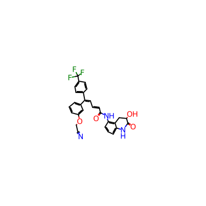 N#CCOc1cccc(C(=CC=CC(=O)Nc2cccc3c2CC(O)C(=O)N3)c2ccc(C(F)(F)F)cc2)c1